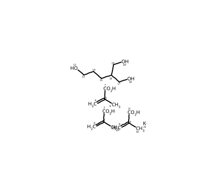 C=C(C)C(=O)O.C=C(C)C(=O)O.C=C(C)C(=O)O.OCCCC(CO)CO.[K]